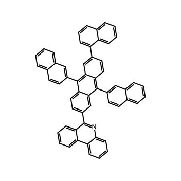 c1ccc2cc(-c3c4ccc(-c5nc6ccccc6c6ccccc56)cc4c(-c4ccc5ccccc5c4)c4ccc(-c5cccc6ccccc56)cc34)ccc2c1